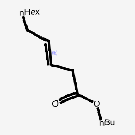 CCCCCCC/C=C/CC(=O)OCCCC